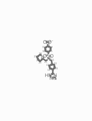 O=[N+]([O-])c1ccc(S(=O)(=O)N(Cc2ccc(-c3nnn[nH]3)cc2)Cc2ccccn2)cc1